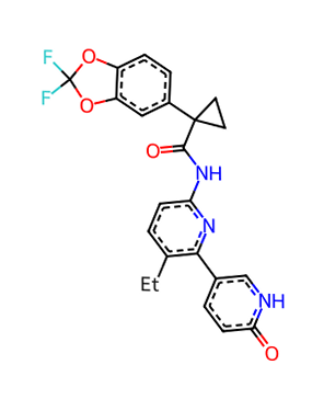 CCc1ccc(NC(=O)C2(c3ccc4c(c3)OC(F)(F)O4)CC2)nc1-c1ccc(=O)[nH]c1